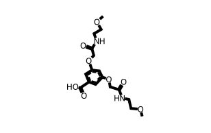 COCCNC(=O)COc1cc(OCC(=O)NCCOC)cc(C(=O)O)c1